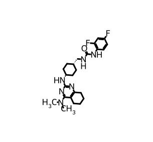 CN(C)c1nc(N[C@H]2CC[C@@H](CNC(=O)Nc3ccc(F)cc3F)CC2)nc2c1CCCC2